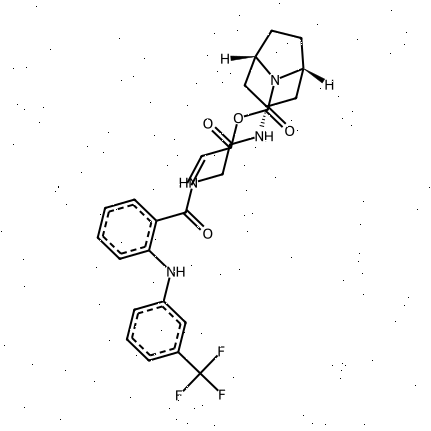 C=CCOC(=O)N1[C@@H]2CC[C@H]1C[C@@H](NC(=O)CNC(=O)c1ccccc1Nc1cccc(C(F)(F)F)c1)C2